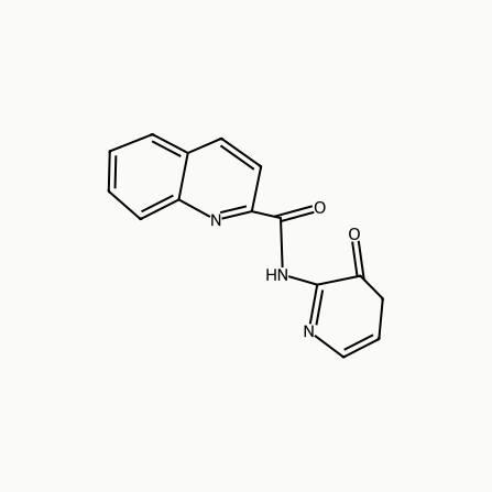 O=C1CC=CN=C1NC(=O)c1ccc2ccccc2n1